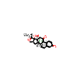 CC1C[C@H]2[C@@H]3CCC4=CC(=O)C=C[C@]4(C)[C@@]3(F)C(=O)C[C@]2(C)[C@@]1(O)C(=O)C(=O)O